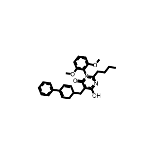 CCCCc1nc(O)c(CC2C=CC(c3ccccc3)=CC2)c(=O)n1-c1c(OC)cccc1OC